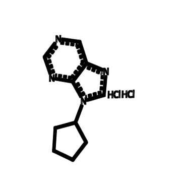 Cl.Cl.c1ncc2ncn(C3CCCC3)c2n1